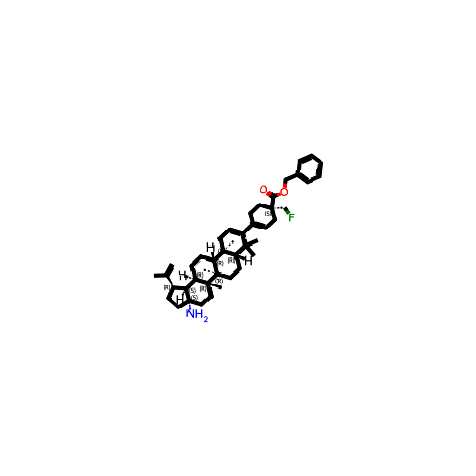 C=C(C)[C@@H]1CC[C@]2(N)CC[C@]3(C)[C@H](CC[C@@H]4[C@@]5(C)CC=C(C6=CC[C@](CF)(C(=O)OCc7ccccc7)CC6)C(C)(C)[C@@H]5CC[C@]43C)[C@H]12